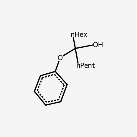 CCCCCCC(O)(CCCCC)Oc1ccccc1